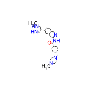 CN/C=C(\C=N)c1ccc2cnc(NC(=O)[C@H]3CC[C@@H](CN4CCN(C)CC4)CC3)cc2c1